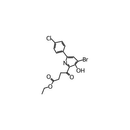 CCOC(=O)CCC(=O)c1nc(-c2ccc(Cl)cc2)cc(Br)c1O